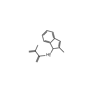 C=C(C)C(=C)C.CC1=Cc2ccccc2[CH]1[Hf]